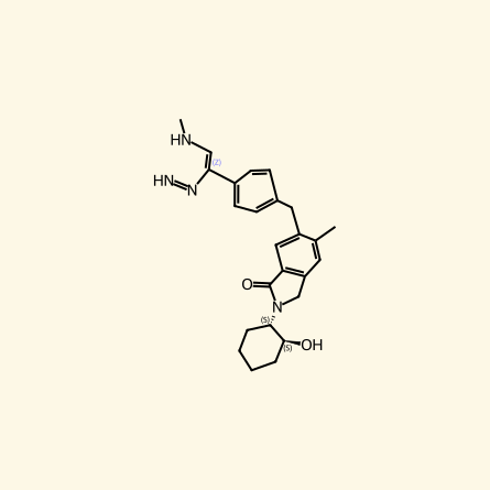 CN/C=C(\N=N)c1ccc(Cc2cc3c(cc2C)CN([C@H]2CCCC[C@@H]2O)C3=O)cc1